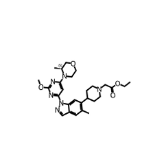 CCOC(=O)CN1CCC(c2cc3c(cnn3-c3cc(N4CCOC[C@@H]4C)nc(OC)n3)cc2C)CC1